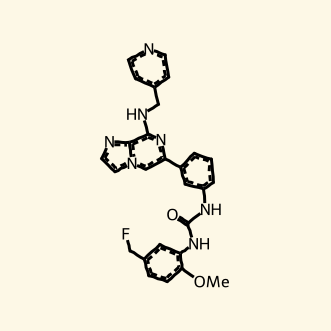 COc1ccc(CF)cc1NC(=O)Nc1cccc(-c2cn3ccnc3c(NCc3ccncc3)n2)c1